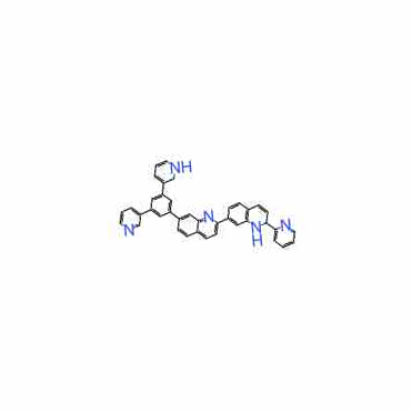 C1=CNCC(c2cc(-c3cccnc3)cc(-c3ccc4ccc(-c5ccc6c(c5)NC(c5ccccn5)C=C6)nc4c3)c2)=C1